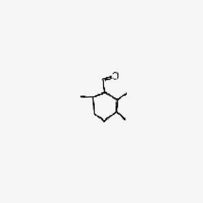 CC1CCC(C)C(C=O)C1C